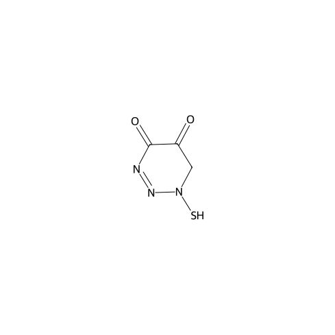 O=C1CN(S)N=NC1=O